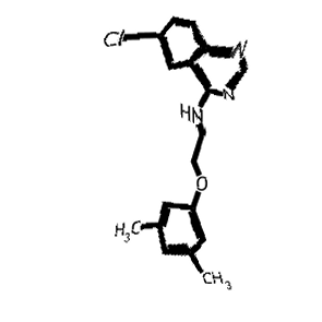 Cc1cc(C)cc(OCCNc2ncnc3ccc(Cl)cc23)c1